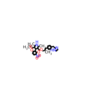 COC(=O)C1=C(C)NC(C)=C(C(=O)OCC(C)=Cc2ccc(Cc3ncc[nH]3)cc2)C1c1cccc([N+](=O)[O-])c1